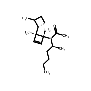 CCCC[C@H](C)N(C(C)=O)[C@]1(C)C=C[C@@]1(C)[C@H]1CCC1C